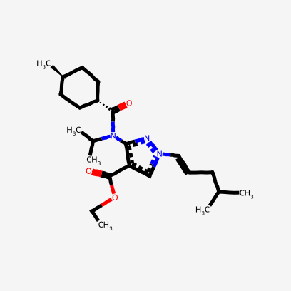 CCOC(=O)c1cn(/C=C/CC(C)C)nc1N(C(=O)[C@H]1CC[C@H](C)CC1)C(C)C